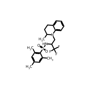 Cc1cc(C)c(S(=O)(=O)NC(CN2c3ccccc3CCC2C)C(F)(F)F)c(C)c1